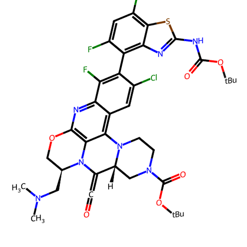 CN(C)C[C@H]1COc2nc3c(F)c(-c4c(F)cc(F)c5sc(NC(=O)OC(C)(C)C)nc45)c(Cl)cc3c3c2N1C(=C=O)[C@H]1CN(C(=O)OC(C)(C)C)CCN31